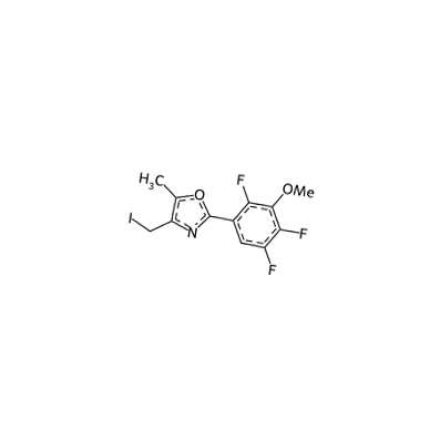 COc1c(F)c(F)cc(-c2nc(CI)c(C)o2)c1F